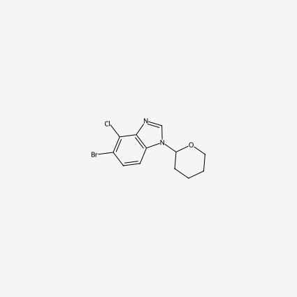 Clc1c(Br)ccc2c1ncn2C1CCCCO1